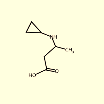 CC(CC(=O)O)NC1CC1